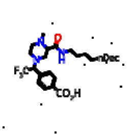 CCCCCCCCCCCCCCNC(=O)C1CN(C(c2ccc(C(=O)O)cc2)C(F)(F)F)CCN1C